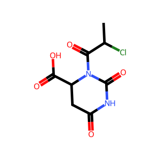 CC(Cl)C(=O)N1C(=O)NC(=O)CC1C(=O)O